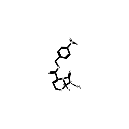 N[C@@H]1C(=O)N2C(C(=O)OCc3ccc([N+](=O)[O-])cc3)=CCS[C@@H]12